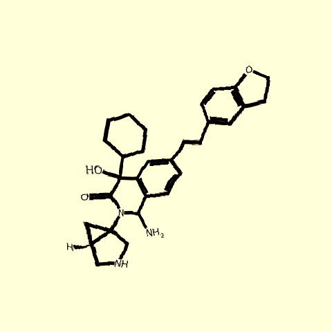 NC1c2ccc(CCc3ccc4c(c3)CCO4)cc2C(O)(C2CCCCC2)C(=O)N1C12CNC[C@@H]1C2